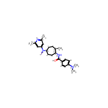 C[C@@H]1CC[C@H](N(I)c2cc(C(F)(F)F)nc(C(F)(F)F)c2)CC[C@@H]1NC(=O)c1ccc(N(C)C)cc1